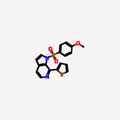 COc1ccc(S(=O)(=O)n2ccc3ccnc(-c4cccs4)c32)cc1